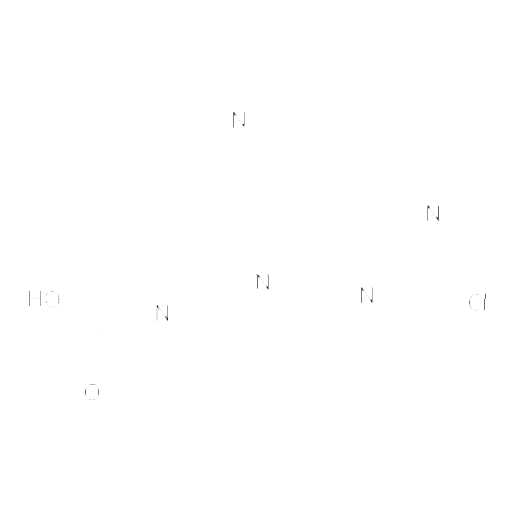 N#Cc1cnc(Cl)nc1N1CCN(C(=O)O)CC1